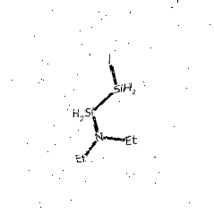 CCN(CC)[SiH2][SiH2]I